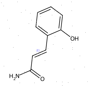 NC(=O)/C=C/c1ccccc1O